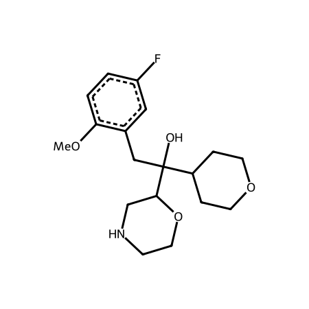 COc1ccc(F)cc1CC(O)(C1CCOCC1)C1CNCCO1